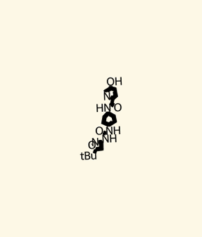 CC(C)(C)c1cc(NC(=O)Nc2ccc(NC(=O)c3ccc(O)cn3)cc2)no1